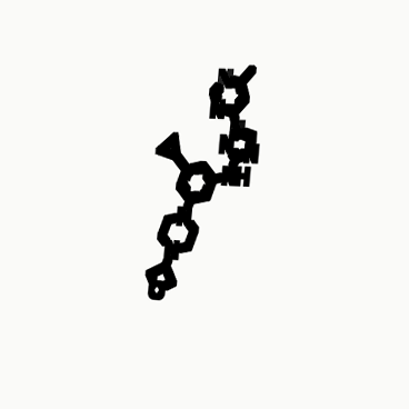 Cc1cc(-n2cnc(Nc3cc(C4CC4)cc(N4CCN(C5COC5)CC4)c3)n2)ncn1